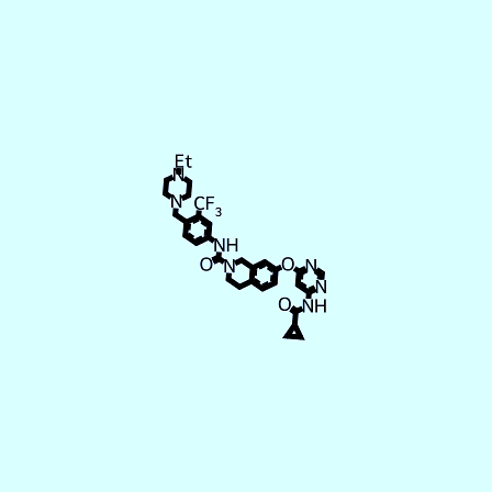 CCN1CCN(Cc2ccc(NC(=O)N3CCc4ccc(Oc5cc(NC(=O)C6CC6)ncn5)cc4C3)cc2C(F)(F)F)CC1